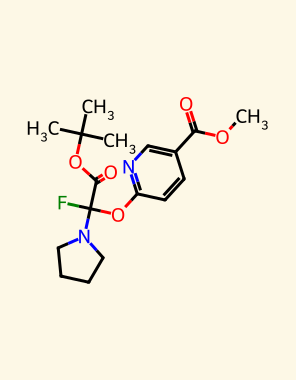 COC(=O)c1ccc(OC(F)(C(=O)OC(C)(C)C)N2CCCC2)nc1